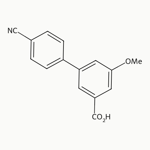 COc1cc(C(=O)O)cc(-c2ccc(C#N)cc2)c1